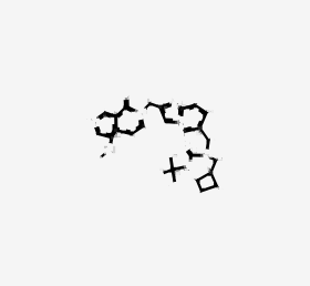 CNc1cncc2c(=O)n(Cc3cn4cc(CN(CC5CCC5)C(=O)OC(C)(C)C)ccc4n3)ccc12